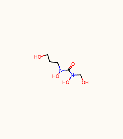 O=C(N(O)CO)N(O)CCCO